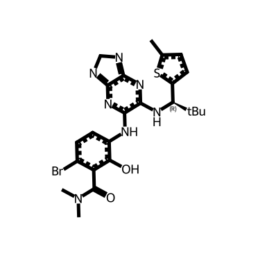 Cc1ccc([C@H](Nc2nc3c(nc2Nc2ccc(Br)c(C(=O)N(C)C)c2O)=NCN=3)C(C)(C)C)s1